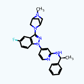 C[C@H](Nc1cc(-n2nc(N3CC4CC3CN4C)c3cc(F)ccc32)ccn1)c1ccccc1